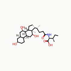 CC[C@@H](C)[C@H](NC(=O)CC[C@@H](C)[C@H]1CC[C@H]2[C@@H]3[C@H](O)C[C@@H]4C[C@H](O)CC[C@]4(C)[C@H]3C[C@H](O)[C@]12C)C(=O)O